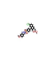 COC(=O)Cc1cc2ccc(Cl)cc2c(-c2ccc(S(=O)(=O)NCc3ccc(OC)cc3)cc2)c1C